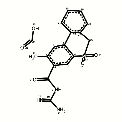 Cc1cc2c(cc1C(=O)NC(=N)N)S(=O)(=O)Cc1ccccc1-2.O=CO